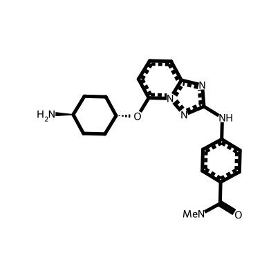 CNC(=O)c1ccc(Nc2nc3cccc(O[C@H]4CC[C@H](N)CC4)n3n2)cc1